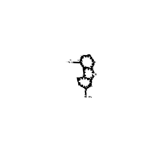 CCCCCCc1ccc2c(c1)[nH]c1cccc(CCCCCC)c12